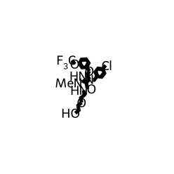 CNC1=C(C(=O)NCCOCCO)N(Cc2ccc(Cl)cc2)C(Oc2cccc(OC(F)(F)F)c2)N1